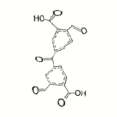 O=Cc1cc(C(=O)c2ccc(C=O)c(C(=O)O)c2)ccc1C(=O)O